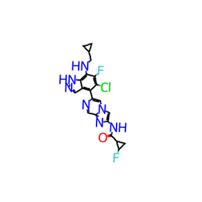 O=C(Nc1cn2cc(-c3c(Cl)c(F)c(NCC4CC4)c4[nH]ncc34)ncc2n1)C1CC1F